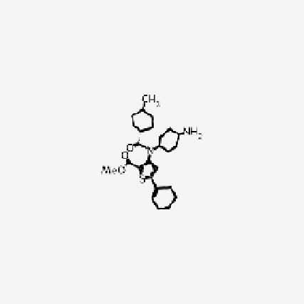 COC(=O)c1sc(C2=CCCCC2)cc1N(C(=O)[C@H]1CC[C@H](C)CC1)C1CCC(N)CC1